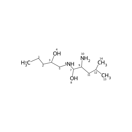 CCCC(O)CNC(O)C(N)CC(C)C